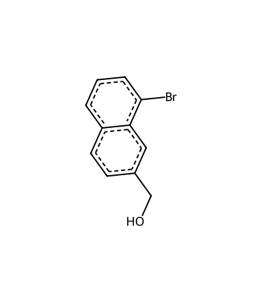 OCc1ccc2cccc(Br)c2c1